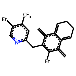 C=c1c(CC)c(Cc2cc(C(F)(F)F)c(CC)cn2)c(=C)c2c1=CCCC=2